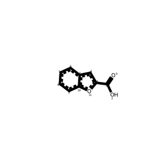 O=C(O)c1cc2c[c]ccc2o1